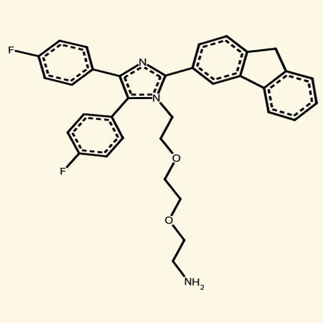 NCCOCCOCCn1c(-c2ccc3c(c2)-c2ccccc2C3)nc(-c2ccc(F)cc2)c1-c1ccc(F)cc1